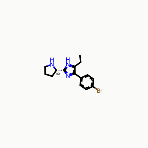 CCc1[nH]c([C@@H]2CCCN2)nc1-c1ccc(Br)cc1